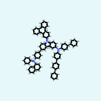 c1ccc(-c2ccc(-c3ccc(N(c4ccc(-c5ccccc5)cc4)c4ccc5c(c4)c4cc(-c6ccc(N(c7ccccc7)c7cccc8ccccc78)cc6)ccc4n5-c4ccc5c6ccccc6c6ccccc6c5c4)cc3)cc2)cc1